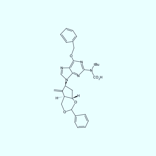 C=C1[C@@H]2COC(c3ccccc3)O[C@H]2C[C@@H]1n1cnc2c(OCc3ccccc3)nc(N(C(=O)O)C(C)(C)C)nc21